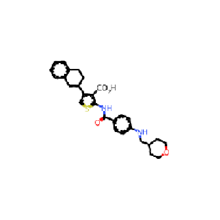 O=C(Nc1scc(C2CCc3ccccc3C2)c1C(=O)O)c1ccc(NCC2CCOCC2)cc1